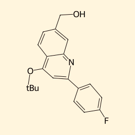 CC(C)(C)Oc1cc(-c2ccc(F)cc2)nc2cc(CO)ccc12